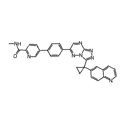 CNC(=O)c1ccc(-c2ccc(-c3cnc4nnc(C5(c6ccc7ncccc7c6)CC5)n4n3)cc2)cn1